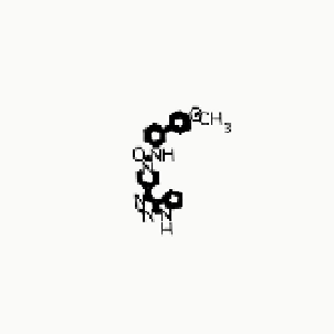 COc1ccc(-c2cccc(NC(=O)N3CC=C(c4ncnc5[nH]c6c(c45)CCC6)CC3)c2)cc1